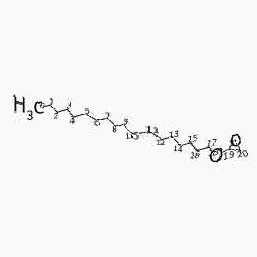 CCCCCCCCCCCCCCCCCCOC1CO1